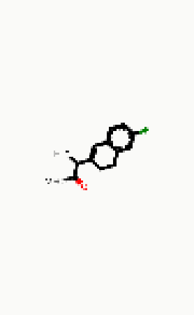 COC(=O)C(C)C1=Cc2ccc(F)cc2CC1